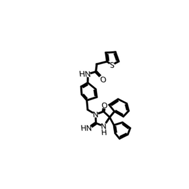 N=C1NC(c2ccccc2)(c2ccccc2)C(=O)N1Cc1ccc(NC(=O)Cc2cccs2)cc1